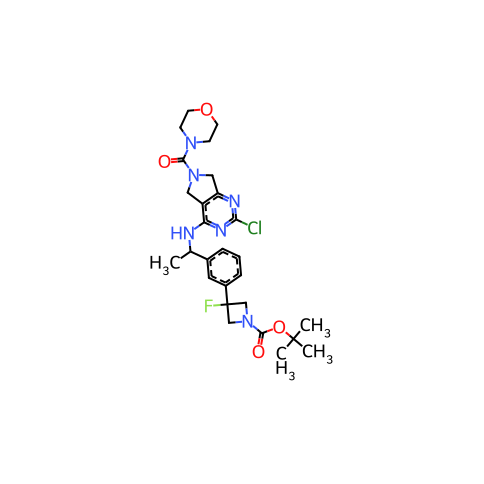 CC(Nc1nc(Cl)nc2c1CN(C(=O)N1CCOCC1)C2)c1cccc(C2(F)CN(C(=O)OC(C)(C)C)C2)c1